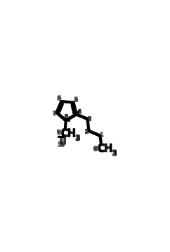 CCCCC1=CC=C[C]1C.[Ti]